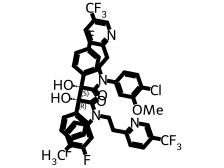 COc1cc(N(CCc2ccc(C(F)(F)F)cn2)C(=O)[C@](O)(c2ccc(F)cc2)[C@@](O)(C(=O)N(CCc2ccc(C(F)(F)F)cn2)c2ccc(C)c(F)c2)c2ccc(F)cc2)ccc1Cl